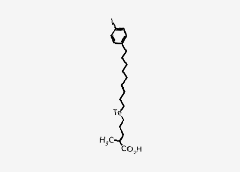 CC(CCC[Te]CCCCCCCCCc1ccc(I)cc1)C(=O)O